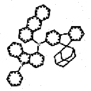 c1ccc(-n2c3ccccc3c3c(N(c4ccc5c(c4)C4(c6ccccc6-5)C5CC6CC(C5)CC4C6)c4cccc5cc6ccccc6cc45)cccc32)cc1